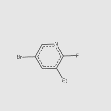 CCc1cc(Br)cnc1F